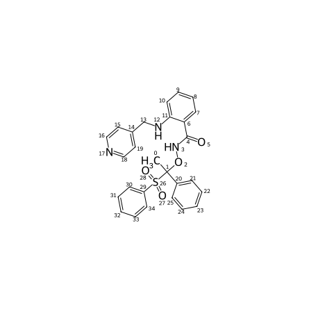 CC(ONC(=O)c1ccccc1NCc1ccncc1)(c1ccccc1)S(=O)(=O)c1ccccc1